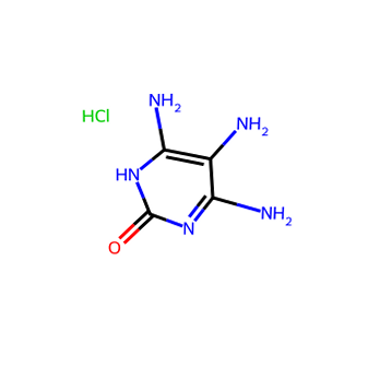 Cl.Nc1nc(=O)[nH]c(N)c1N